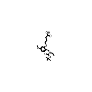 CCN(Cc1ccc(OC)cc1OCCCC(=O)O)C(=O)OC(C)(C)C